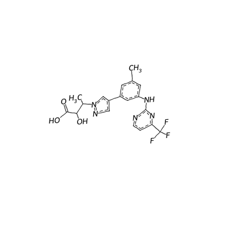 Cc1cc(Nc2nccc(C(F)(F)F)n2)cc(-c2cnn(C(C)C(O)C(=O)O)c2)c1